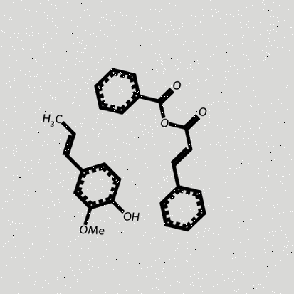 CC=Cc1ccc(O)c(OC)c1.O=C(C=Cc1ccccc1)OC(=O)c1ccccc1